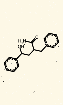 NC(=O)C(Cc1ccccc1)CC(O)c1ccccc1